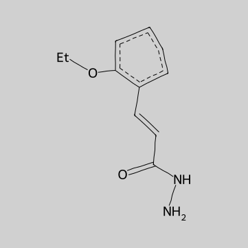 CCOc1ccccc1C=CC(=O)NN